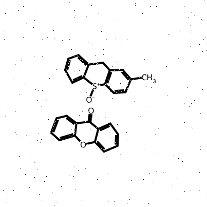 Cc1ccc2c(c1)Cc1ccccc1[S+]2[O-].O=c1c2ccccc2oc2ccccc12